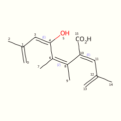 C=C(C)\C=C(O)/C(C)=C(C)\C(=C/C(=C)C)C(=O)O